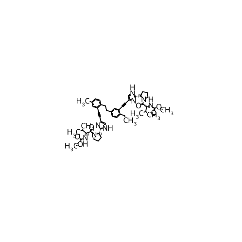 CCc1ccc(CCc2ccc(C)cc2C#Cc2c[nH]c([C@@H]3CCCN3C(=O)[C@@H](NC(=O)OC)C(C)C)n2)cc1C#Cc1c[nH]c([C@@H]2CCCN2C(=O)[C@@H](NC(=O)OC)C(C)C)n1